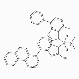 CC1=Cc2c(-c3ccccc3)ccc(C)c2[CH]1[Zr]([Cl])([Cl])([CH]1C(C(C)C)=Cc2c(-c3cccc4c3ccc3ccccc34)cccc21)[SiH](C)C